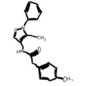 Cc1ccc(CC(=O)Nc2cnn(-c3ccccc3)c2C)cc1